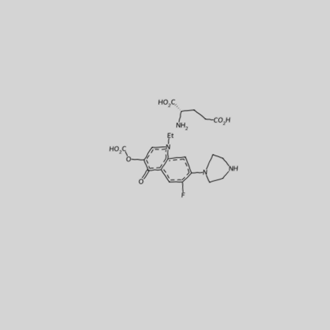 CCn1cc(OC(=O)O)c(=O)c2cc(F)c(N3CCNCC3)cc21.N[C@@H](CCC(=O)O)C(=O)O